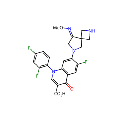 CON=C1CN(c2cc3c(cc2F)c(=O)c(C(=O)O)cn3-c2ccc(F)cc2F)CC12CNC2